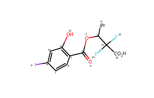 CC(C)C(OC(=O)c1ccc(I)cc1O)C(F)(F)C(=O)O